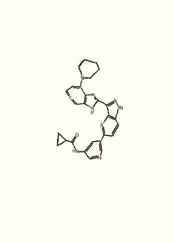 O=C(Nc1cncc(-c2ccc3[nH]nc(-c4nc5c([nH]4)C=C=CC=C5N4CCCCC4)c3n2)c1)C1CC1